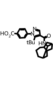 CC(C)(C)c1c(C(=O)NC2C3CCCC4CC2CC4C3)cnn1-c1ccc(C(=O)O)cc1